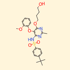 COc1ccccc1Oc1c(NS(=O)(=O)c2ccc(C(C)(C)C)cc2)nc(C)nc1OCCCCO